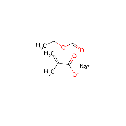 C=C(C)C(=O)[O-].CCOC=O.[Na+]